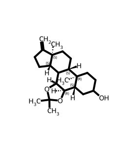 C=C1CC[C@H]2C3[C@H]4OC(C)(C)O[C@@H]4[C@H]4CC(O)CC[C@]4(C)[C@H]3CC[C@]12C